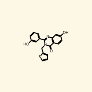 O=c1c2ccc(O)cc2nc(-c2cccc(O)c2)n1Cc1cccs1